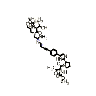 CCCCN(C/C(N)=N/C=C/C#Cc1ccc(-c2cnc([C@H]3CCCN3C(=O)[C@H](NC(=O)OC)C(C)C)[nH]2)cc1)C(=O)C(NC(=O)OC)C(C)C